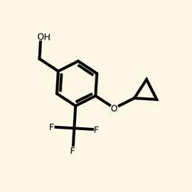 OCc1ccc(OC2CC2)c(C(F)(F)F)c1